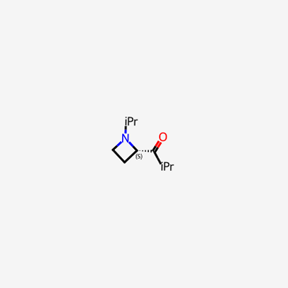 CC(C)C(=O)[C@@H]1CCN1C(C)C